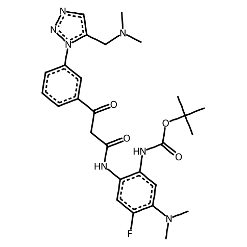 CN(C)Cc1cnnn1-c1cccc(C(=O)CC(=O)Nc2cc(F)c(N(C)C)cc2NC(=O)OC(C)(C)C)c1